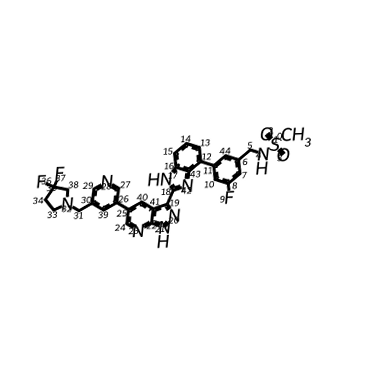 CS(=O)(=O)NCc1cc(F)cc(-c2cccc3[nH]c(-c4n[nH]c5ncc(-c6cncc(CN7CCC(F)(F)C7)c6)cc45)nc23)c1